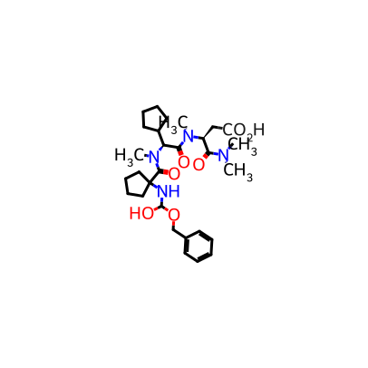 CN(C)C(=O)[C@H](CC(=O)O)N(C)C(=O)[C@H](C1CCCC1)N(C)C(=O)C1(NC(O)OCc2ccccc2)CCCC1